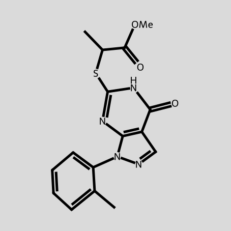 COC(=O)C(C)Sc1nc2c(cnn2-c2ccccc2C)c(=O)[nH]1